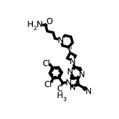 CC(c1ccc(Cl)cc1Cl)n1nc(C#N)c2ncc(N3CC([C@@H]4CCCN(CCCC(N)=O)C4)C3)nc21